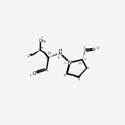 C[C@@H](O)[C@@H](C=O)NN1CCC[C@H]1C=O